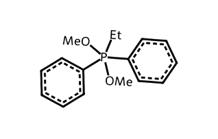 CCP(OC)(OC)(c1ccccc1)c1ccccc1